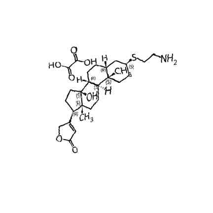 C[C@]12CC[C@H](SCCN)C[C@H]1CC[C@@H]1[C@@H]2CC[C@]2(C)[C@@H](C3=CC(=O)OC3)CC[C@]12O.O=C(O)C(=O)O